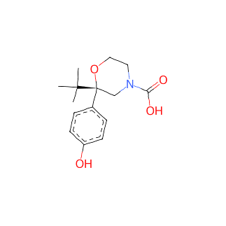 CC(C)(C)[C@]1(c2ccc(O)cc2)CN(C(=O)O)CCO1